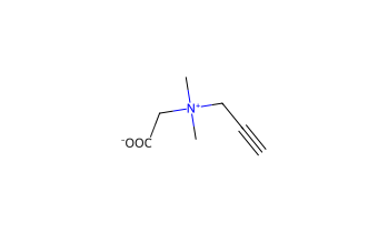 C#CC[N+](C)(C)CC(=O)[O-]